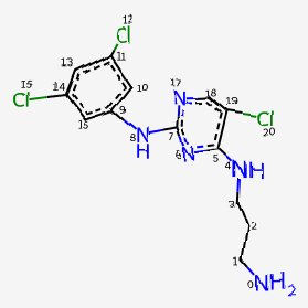 NCCCNc1nc(Nc2cc(Cl)cc(Cl)c2)ncc1Cl